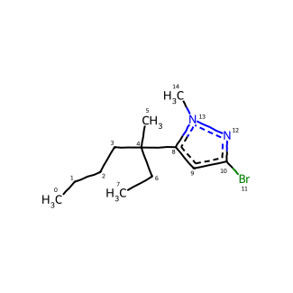 CCCCC(C)(CC)c1cc(Br)nn1C